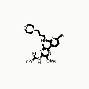 CCCC(CC)Nc1nc(C)c(-c2ccc(C(C)C)nc2NCCCN2CCOCC2)nc1OC